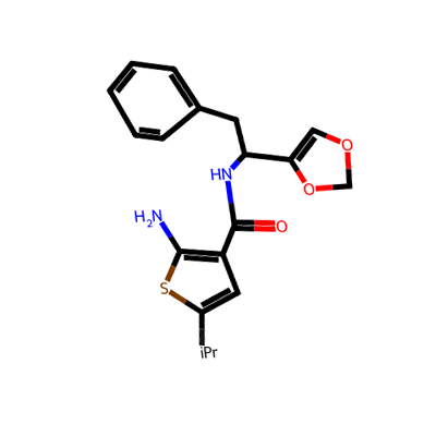 CC(C)c1cc(C(=O)NC(Cc2ccccc2)C2=COCO2)c(N)s1